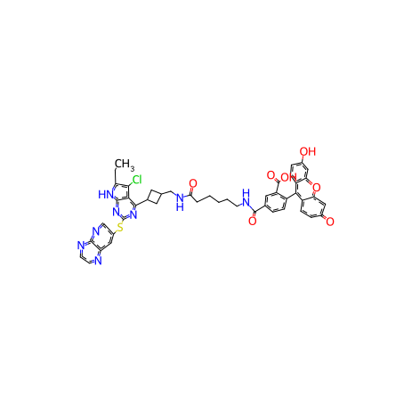 CCc1[nH]c2nc(Sc3cnc4nccnc4c3)nc(C3CC(CNC(=O)CCCCCNC(=O)c4ccc(-c5c6ccc(=O)cc-6oc6cc(O)ccc56)c(C(=O)O)c4)C3)c2c1Cl